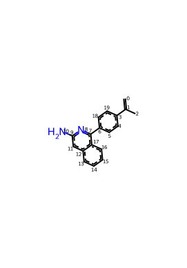 C=C(C)c1ccc(-c2nc(N)cc3ccccc23)cc1